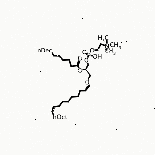 CCCCCCCC/C=C\CCCCCC/C=C\OC[C@H](COP(=O)(O)OCC[N+](C)(C)C)OC(=O)CCCCCCCCCCCCCCC